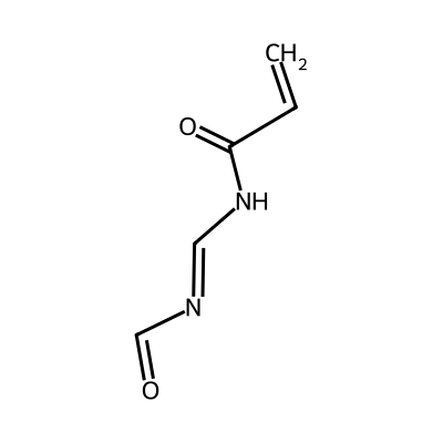 C=CC(=O)NC=NC=O